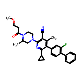 COCCC(=O)N1CCN(c2nc(C3CC3)c(-c3ccc(-c4ccccc4)c(F)c3)c(C)c2C#N)CC1C